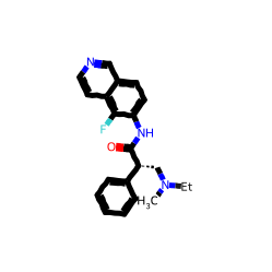 CCN(C)C[C@@H](C(=O)Nc1ccc2cnccc2c1F)c1ccccc1